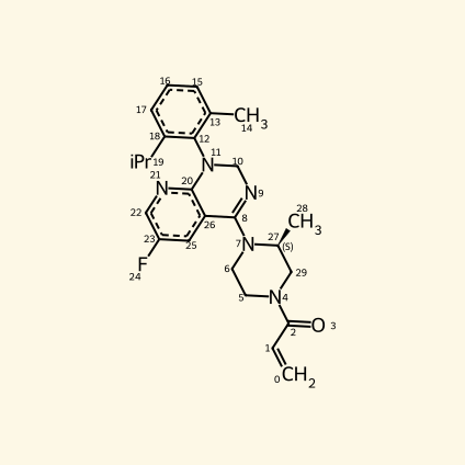 C=CC(=O)N1CCN(C2=NCN(c3c(C)cccc3C(C)C)c3ncc(F)cc32)[C@@H](C)C1